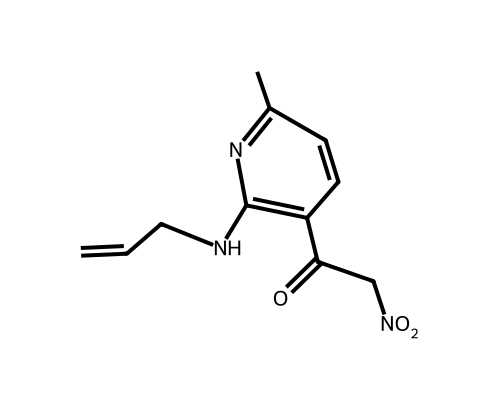 C=CCNc1nc(C)ccc1C(=O)C[N+](=O)[O-]